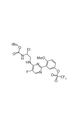 CCC(CNc1nc(-c2cc(OS(=O)(=O)C(F)(F)F)ccc2OC)ncc1F)NC(=O)OC(C)(C)C